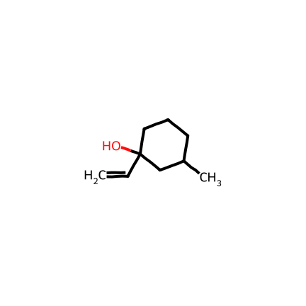 C=CC1(O)CCCC(C)C1